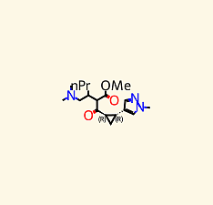 CCCC(CN(C)C)C(C(=O)OC)C(=O)[C@@H]1C[C@H]1c1cnn(C)c1